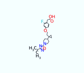 CC(C)c1noc(N2CCC(C3(CCOc4ccc(CC(=O)O)c(F)c4)CC3)CC2)n1